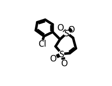 O=S1(=O)C=CCS(=O)(=O)C(c2ccccc2Cl)C1